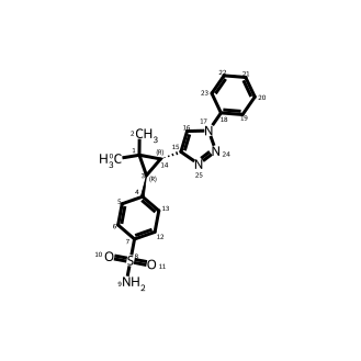 CC1(C)[C@H](c2ccc(S(N)(=O)=O)cc2)[C@H]1c1cn(-c2ccccc2)nn1